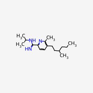 CCCC(C)CCc1ccc(C(=N)NC(C)C)nc1C